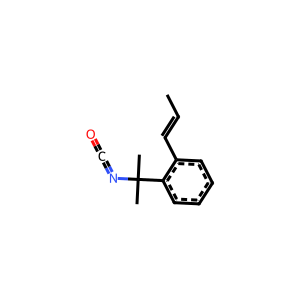 CC=Cc1ccccc1C(C)(C)N=C=O